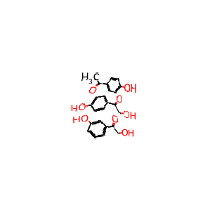 CC(=O)c1ccc(O)cc1.O=C(CO)c1ccc(O)cc1.O=C(CO)c1cccc(O)c1